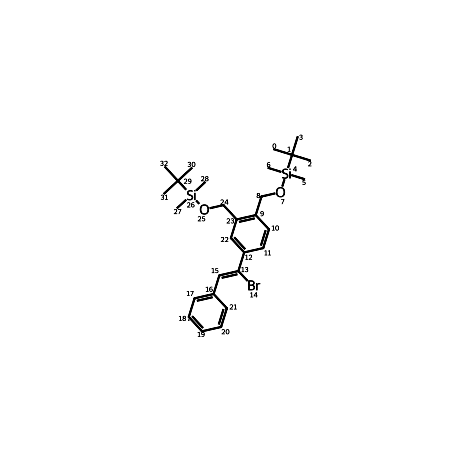 CC(C)(C)[Si](C)(C)OCc1ccc(C(Br)=Cc2c[c]ccc2)cc1CO[Si](C)(C)C(C)(C)C